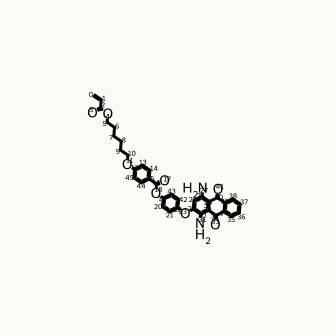 C=CC(=O)OCCCCCCOc1ccc(C(=O)Oc2ccc(Oc3cc(N)c4c(c3N)C(=O)c3ccccc3C4=O)cc2)cc1